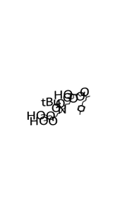 Cc1ccc(CCC(C)C(=O)OCC(CO)OC(=O)CCCN(CCCC(=O)OC(CO)CO)C(=O)OC(C)(C)C)cc1